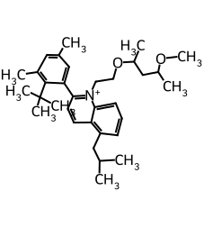 COC(C)CC(C)OCC[n+]1c(-c2cc(C)cc(C)c2C(C)(C)C)ccc2c(CC(C)C)cccc21